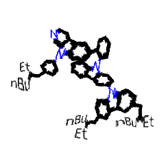 CCCCC(CC)Cc1ccc(-n2c3ccc(-c4ccccc4-n4c5ccccc5c5cc(-n6c7ccc(CC(CC)CCCC)cc7c7cc(CC(CC)CCCC)ccc76)ccc54)cc3c3ccncc32)cc1